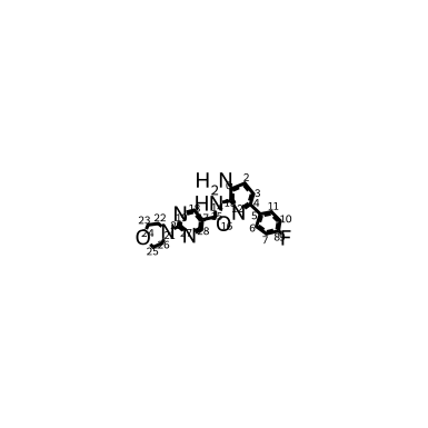 Nc1ccc(-c2ccc(F)cc2)nc1NC(=O)c1cnc(N2CCOCC2)nc1